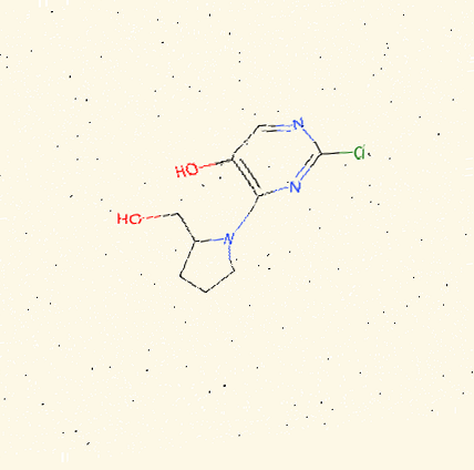 OCC1CCCN1c1nc(Cl)ncc1O